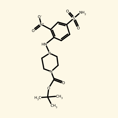 CC(C)(C)OC(=O)N1CCN(Nc2ccc(S(N)(=O)=O)cc2[N+](=O)[O-])CC1